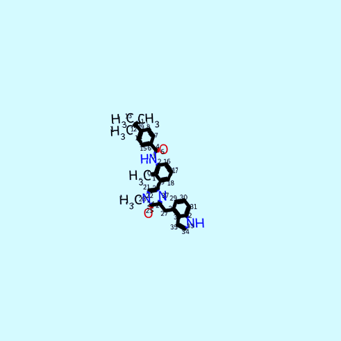 Cc1c(NC(=O)c2ccc(C(C)(C)C)cc2)cccc1-c1cn(C)c(=O)c(Cc2cccc3[nH]ccc23)n1